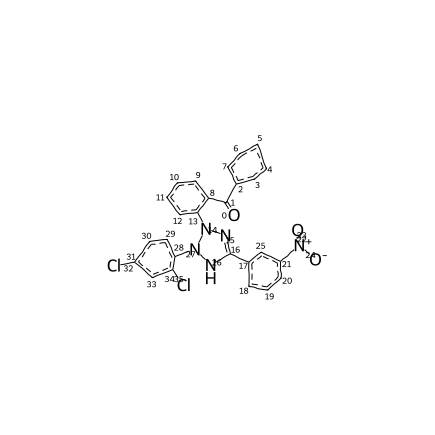 O=C(c1ccccc1)c1ccccc1N1N=C(c2cccc([N+](=O)[O-])c2)NN1c1ccc(Cl)cc1Cl